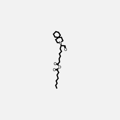 CCCCCCCC(=O)OC(=O)CCCCCCC(C=O)N1CCC2(CCCCC2)CC1